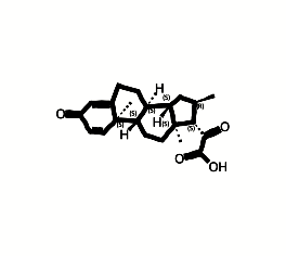 C[C@@H]1C[C@H]2[C@@H]3CCC4=CC(=O)C=C[C@]4(C)[C@H]3CC[C@]2(C)[C@H]1C(=O)C(=O)O